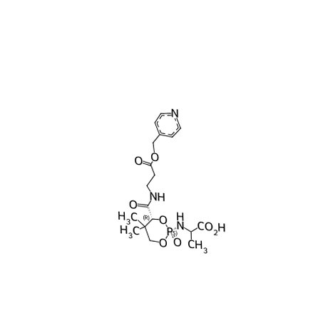 CC(N[P@]1(=O)OCC(C)(C)[C@H](C(=O)NCCC(=O)OCc2ccncc2)O1)C(=O)O